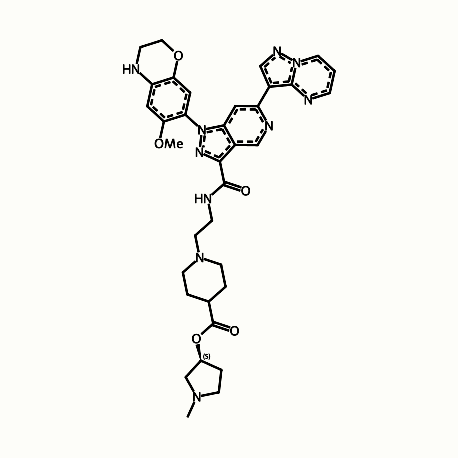 COc1cc2c(cc1-n1nc(C(=O)NCCN3CCC(C(=O)O[C@H]4CCN(C)C4)CC3)c3cnc(-c4cnn5cccnc45)cc31)OCCN2